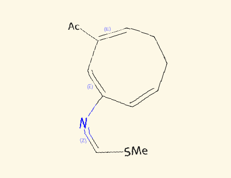 CS\C=N/C1=C/C(C(C)=O)=C\CCC=C1